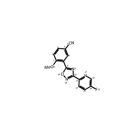 COc1ccc(C#N)cc1-c1nc(-c2ccc(F)cn2)no1